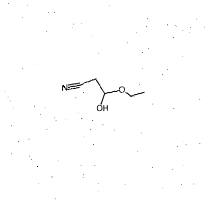 CCOC(O)CC#N